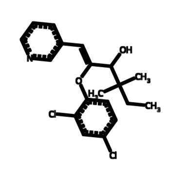 CCC(C)(C)C(O)C(=Cc1cccnc1)Oc1ccc(Cl)cc1Cl